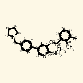 C[C@H](Oc1cc(-c2ccc([CH]N3CCCC3)cc2)cnc1N)c1cccc(F)c1C(F)(F)F